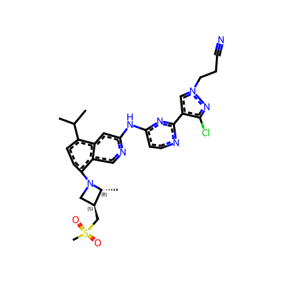 CC(C)c1ccc(N2C[C@H](CS(C)(=O)=O)[C@H]2C)c2cnc(Nc3ccnc(-c4cn(CCC#N)nc4Cl)n3)cc12